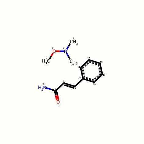 CON(C)C.NC(=O)/C=C/c1ccccc1